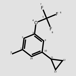 [CH2]c1cc(OC(F)(F)F)cc(C2CC2)c1